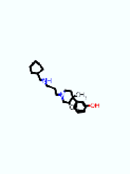 CC1CN(CCCNCC2CCCCC2)CCC1(C)c1cccc(O)c1